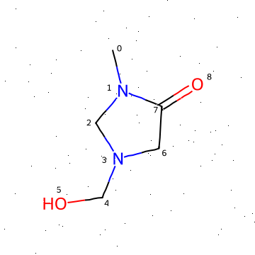 CN1CN(CO)CC1=O